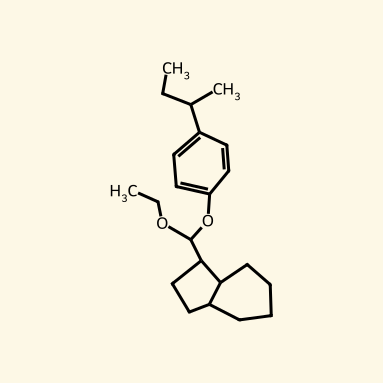 CCOC(Oc1ccc(C(C)CC)cc1)C1CCC2CCCCC21